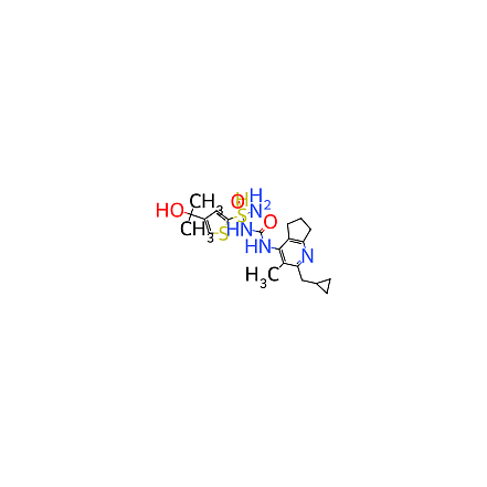 Cc1c(CC2CC2)nc2c(c1NC(=O)N[SH](N)(=O)c1cc(C(C)(C)O)cs1)CCC2